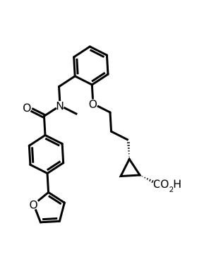 CN(Cc1ccccc1OCCC[C@H]1C[C@H]1C(=O)O)C(=O)c1ccc(-c2ccco2)cc1